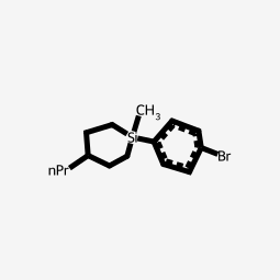 CCCC1CC[Si](C)(c2ccc(Br)cc2)CC1